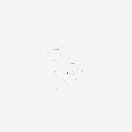 CCCOCCOC1O[C@@H](CO)[C@@H](O)[C@H](O)[C@@H]1O[C@H]1O[C@H](CO)[C@@H](O)[C@H](OC=O)[C@@H]1O